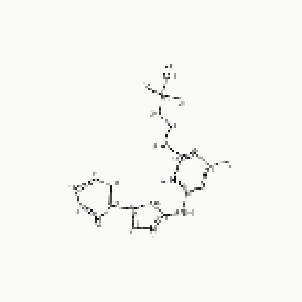 Cc1cc(Nc2ncc(-c3ccccn3)s2)nc(OCCC(C)(C)O)c1